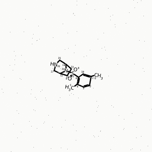 Cc1ccc(C)c(S(=O)(=O)N2C3CCC2CNC3)c1